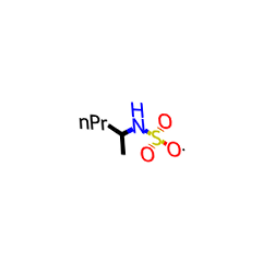 CCCC(C)NS([O])(=O)=O